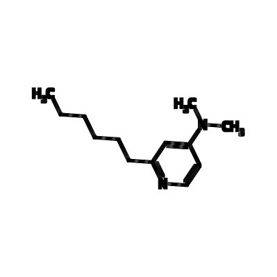 CCCCCCc1cc(N(C)C)ccn1